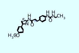 CCNC(=O)Nc1ccc(/C=C/C(=O)Nc2nc(-c3ccc(OC)cc3)cs2)cc1